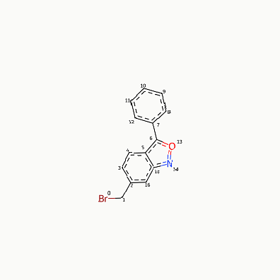 BrCc1ccc2c(-c3ccccc3)onc2c1